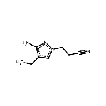 CCc1cn(CCC#N)nc1N